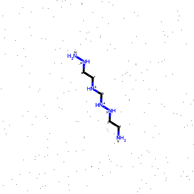 NCCNNCNCCNN